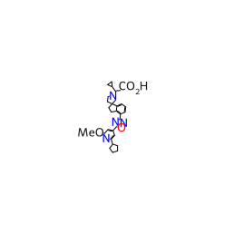 COc1cc(-c2nc(-c3cccc4c3CCC43CCN(C(CC(=O)O)C4CC4)C3)no2)cc(C2CCCC2)n1